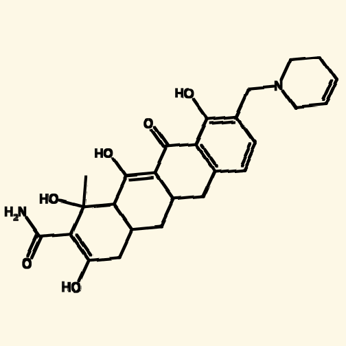 CC1(O)C(C(N)=O)=C(O)CC2CC3Cc4ccc(CN5CC=CCC5)c(O)c4C(=O)C3=C(O)C21